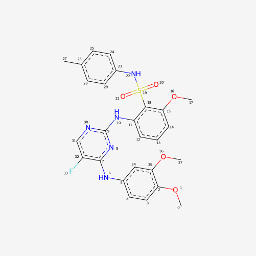 COc1ccc(Nc2nc(Nc3cccc(OC)c3S(=O)(=O)Nc3ccc(C)cc3)ncc2F)cc1OC